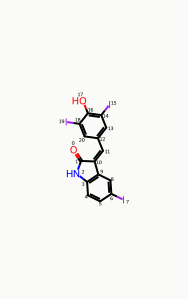 O=C1Nc2ccc(I)cc2C1=Cc1cc(I)c(O)c(I)c1